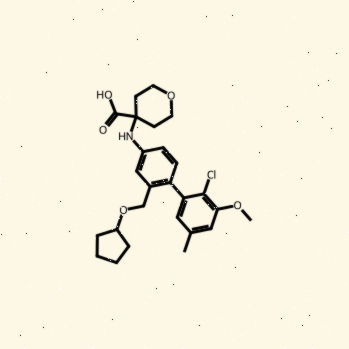 COc1cc(C)cc(-c2ccc(NC3(C(=O)O)CCOCC3)cc2COC2CCCC2)c1Cl